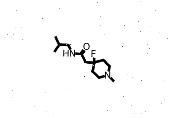 CC(C)CNC(=O)CC1(F)CCN(C)CC1